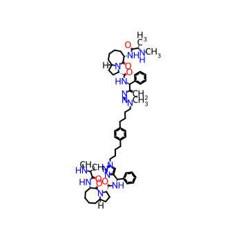 C=C(/N=N\N(C)CCCCc1ccc(CCCCn2cc([C@@H](NC(=O)[C@@H]3CC[C@@H]4CCCC[C@H](NC(=O)[C@H](C)NC)C(=O)N43)c3ccccc3)nn2)cc1)[C@@H](NC(=O)[C@@H]1CC[C@@H]2CCCC[C@H](NC(=O)[C@H](C)NC)C(=O)N21)c1ccccc1